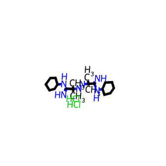 CC(C)(N=NC(C)(C)C(=N)NC1CCCCC1)C(=N)NC1CCCCC1.Cl.Cl